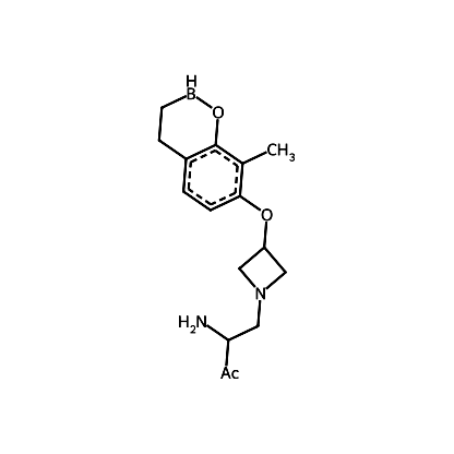 CC(=O)C(N)CN1CC(Oc2ccc3c(c2C)OBCC3)C1